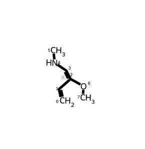 C=C/C(=C\NC)OC